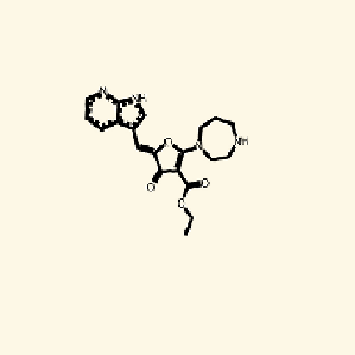 CCOC(=O)C1=C(N2CCCNCC2)O/C(=C\c2c[nH]c3ncccc23)C1=O